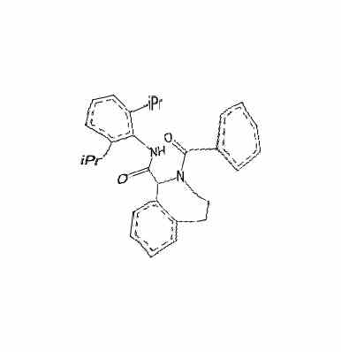 CC(C)c1cccc(C(C)C)c1NC(=O)C1c2ccccc2CCN1C(=O)c1ccccc1